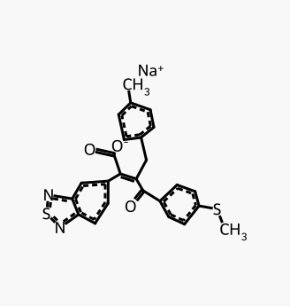 CSc1ccc(C(=O)/C(Cc2ccc(C)cc2)=C(/C(=O)[O-])c2ccc3nsnc3c2)cc1.[Na+]